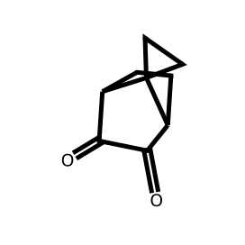 O=C1C(=O)C2CCC1C21CC1